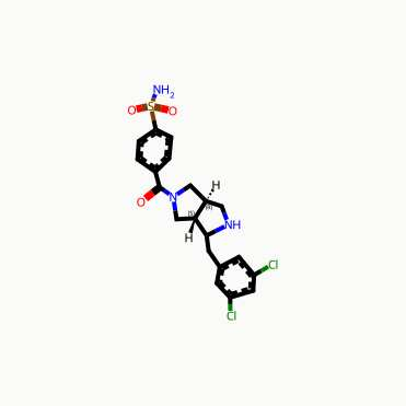 NS(=O)(=O)c1ccc(C(=O)N2C[C@H]3CNC(Cc4cc(Cl)cc(Cl)c4)[C@@H]3C2)cc1